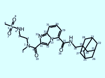 CN(CCNS(C)(=O)=O)C(=O)c1cn2c(C(=O)NCC34CC5CC(CC(C5)C3)C4)cccc2n1